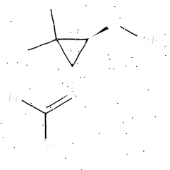 CC1(C)[C@@H](C=C(Br)Br)[C@@H]1OC=O